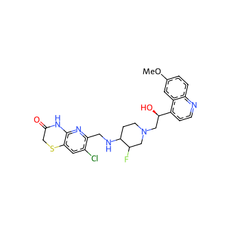 COc1ccc2nccc([C@H](O)CN3CCC(NCc4nc5c(cc4Cl)SCC(=O)N5)C(F)C3)c2c1